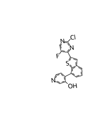 Oc1cnccc1-c1cccc2cc(-c3nc(Cl)ncc3F)sc12